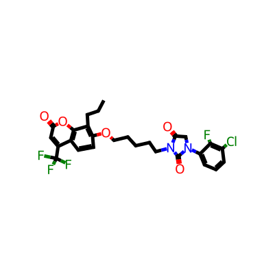 CCCc1c(OCCCCCN2C(=O)CN(c3cccc(Cl)c3F)C2=O)ccc2c(C(F)(F)F)cc(=O)oc12